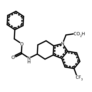 O=C(O)Cn1c2c(c3cc(C(F)(F)F)ccc31)CC(NC(=O)OCc1ccccc1)CC2